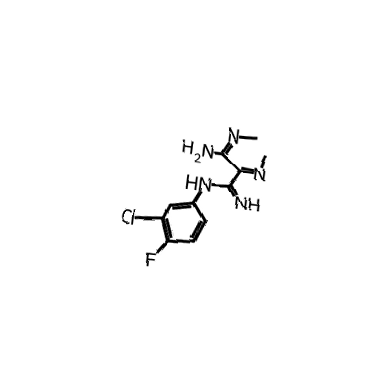 C/N=C(C(=N)Nc1ccc(F)c(Cl)c1)\C(N)=N/C